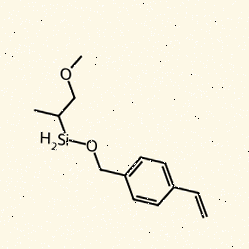 C=Cc1ccc(CO[SiH2]C(C)COC)cc1